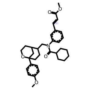 COC(=O)/C=C/c1cccc(N(CC2CCC3(c4ccc(OC)cc4)CC2CCO3)C(=O)C2CCCCC2)c1